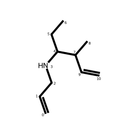 C=CCNC(CC)C(C)C=C